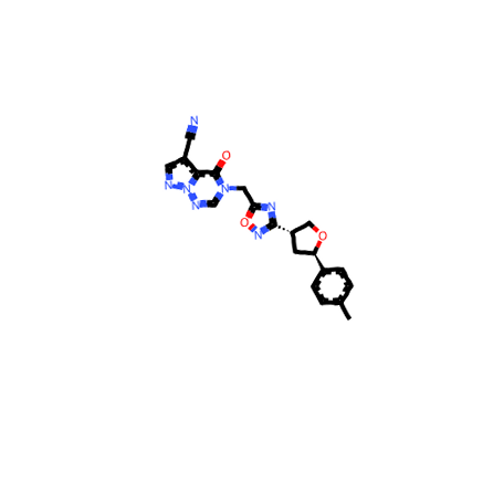 Cc1ccc([C@H]2C[C@H](c3noc(Cn4cnn5ncc(C#N)c5c4=O)n3)CO2)cc1